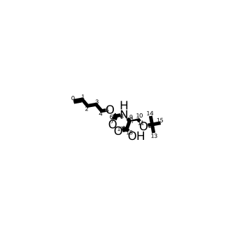 C=CCCCOC(=O)N[C@@H](COC(C)(C)C)C(=O)O